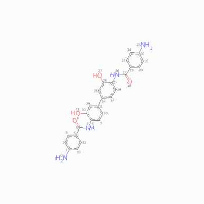 Nc1ccc(C(=O)Nc2ccc(-c3ccc(NC(=O)c4ccc(N)cc4)c(O)c3)cc2O)cc1